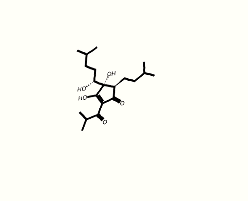 CC(C)CC[C@@H](O)[C@]1(O)C(O)=C(C(=O)C(C)C)C(=O)[C@@H]1CCC(C)C